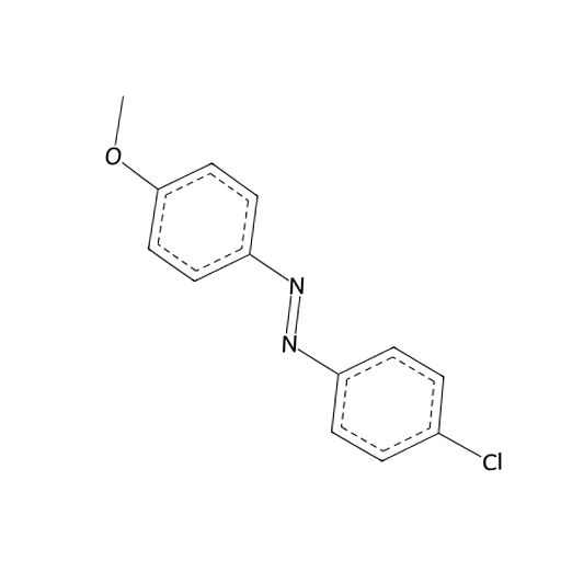 COc1ccc(/N=N/c2ccc(Cl)cc2)cc1